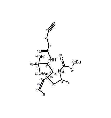 C#CCCC(=O)N[C@H]([C@H]1[C@H](/C=C\C)CC(C)N1C(=O)OC(C)(C)C)[C@](C)(CCC)OC